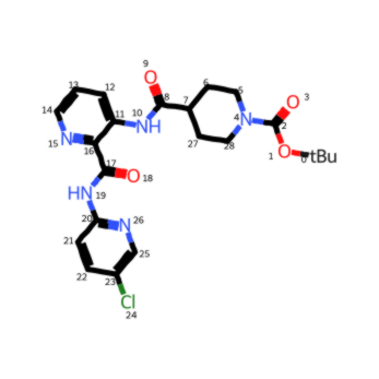 CC(C)(C)OC(=O)N1CCC(C(=O)Nc2cccnc2C(=O)Nc2ccc(Cl)cn2)CC1